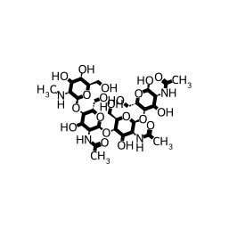 CN[C@@H]1C(O)[C@H](O)[C@@H](CO)O[C@H]1O[C@H]1C(O)[C@@H](NC(C)=O)[C@H](O[C@H]2C(O)[C@@H](NC(C)=O)[C@H](O[C@H]3C(O)[C@@H](NC(C)=O)[C@H](O)O[C@H]3CO)O[C@@H]2CO)O[C@H]1CO